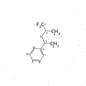 CC(CC(C)C(F)(F)F)c1ccccc1